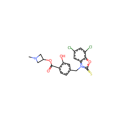 CN1CC(OC(=O)c2ccc(Cn3c(=S)oc4c(Cl)cc(Cl)cc43)cc2O)C1